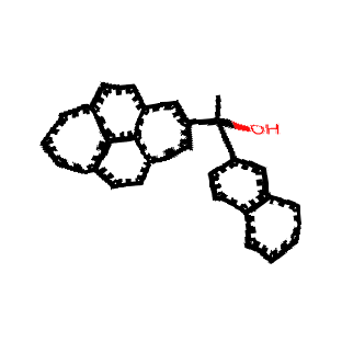 CC(O)(c1ccc2ccccc2c1)c1cc2ccc3cccc4ccc(c1)c2c34